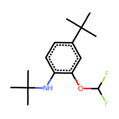 CC(C)(C)Nc1ccc(C(C)(C)C)cc1OC(F)F